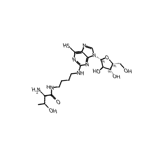 CC(O)C(N)C(=O)NCCCCNc1nc(S)c2ncn([C@@H]3O[C@H](CO)[C@H](O)C3O)c2n1